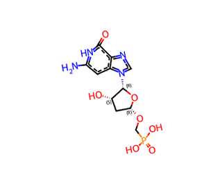 Nc1cc2c(ncn2[C@@H]2O[C@H](OCP(=O)(O)O)C[C@@H]2O)c(=O)[nH]1